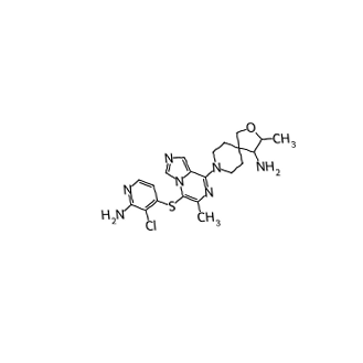 Cc1nc(N2CCC3(CC2)COC(C)C3N)c2cncn2c1Sc1ccnc(N)c1Cl